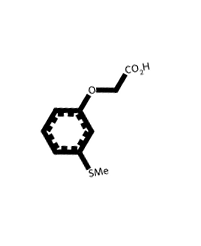 CSc1cccc(OCC(=O)O)c1